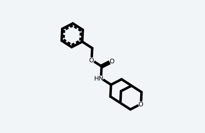 O=C(NC1CC2COCC(C2)C1)OCc1ccccc1